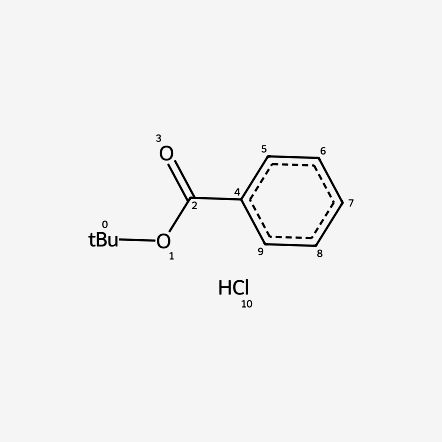 CC(C)(C)OC(=O)c1ccccc1.Cl